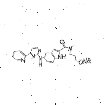 COCCCN(C)C(=O)c1cc2cc(Nc3nccc(-c4ccccn4)n3)ccc2[nH]1